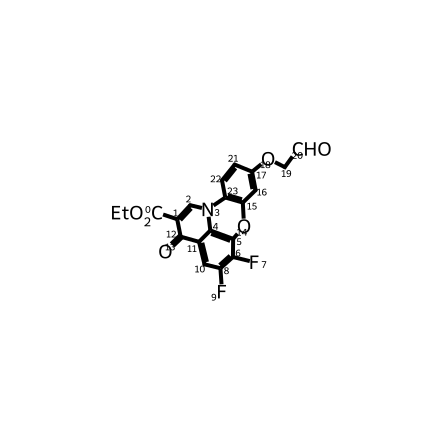 CCOC(=O)c1cn2c3c(c(F)c(F)cc3c1=O)Oc1cc(OCC=O)ccc1-2